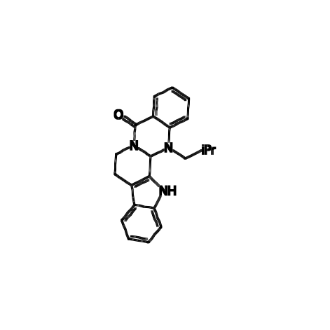 CC(C)CN1c2ccccc2C(=O)N2CCc3c([nH]c4ccccc34)C21